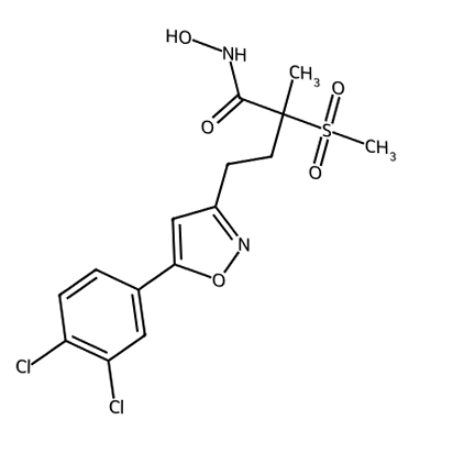 CC(CCc1cc(-c2ccc(Cl)c(Cl)c2)on1)(C(=O)NO)S(C)(=O)=O